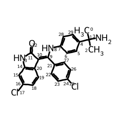 CC(C)(N)c1ccc(N/C(=C2\C(=O)Nc3cc(Cl)ccc32)c2ccc(Cl)cc2)cc1